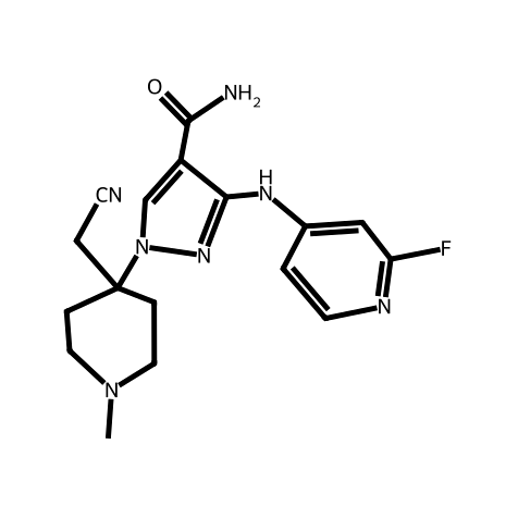 CN1CCC(CC#N)(n2cc(C(N)=O)c(Nc3ccnc(F)c3)n2)CC1